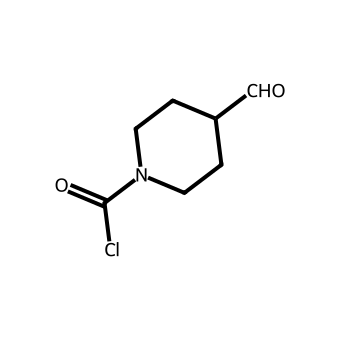 O=CC1CCN(C(=O)Cl)CC1